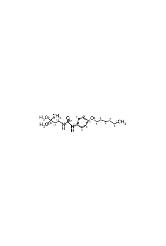 CCCCCCOc1ccc(NC(=O)NCCC(C)(C)C)cc1